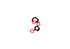 O=C1C=CC(O[C@@H]2CCCCO2)C1